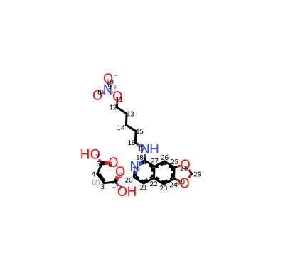 O=C(O)/C=C\C(=O)O.O=[N+]([O-])OCCCCCNc1nccc2cc3c(cc12)OCO3